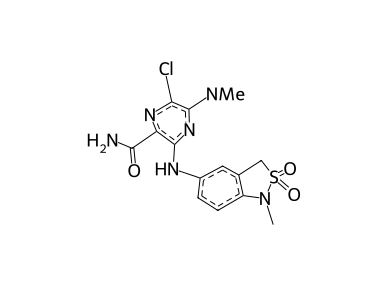 CNc1nc(Nc2ccc3c(c2)CS(=O)(=O)N3C)c(C(N)=O)nc1Cl